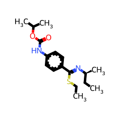 CCS/C(=N\[C@@H](C)CC)c1ccc(NC(=O)OC(C)C)cc1